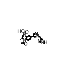 CC(=O)N1c2ccc(-c3cnn(Cc4c[nH]cn4)c3)cc2N(C(=O)O)C[C@@H]1C